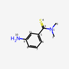 CN(C)C(=S)c1cccc(N)c1